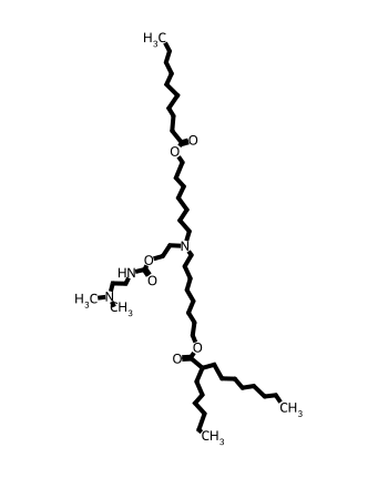 CCCCCCCCCC(=O)OCCCCCCCN(CCCCCCCCOC(=O)C(CCCCCC)CCCCCCCC)CCOC(=O)NCCN(C)C